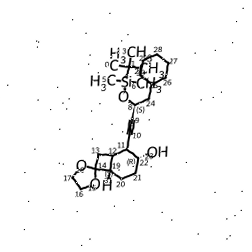 CC(C)(C)[Si](C)(C)O[C@H](C#CC1C2CC3(OCCO3)[C@H]2CC[C@H]1O)CC1CCCCC1